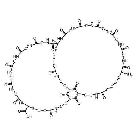 N[C@H]1CSCCC(=O)NCCn2c(=O)n3c(=O)n(c2=O)CCNC(=O)CCS[C@@H](C(=O)O)NC(=O)CNC(=O)CNC(=O)CNC(=O)CNC(=O)CNC(=O)[C@H](CSCCC(=O)NCC3)NC(=O)CNC(=O)CNC(=O)CNC(=O)CNC(=O)CNC1=O